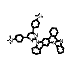 C[Si](C)(C)c1ccc(-c2cc(-c3ccc([Si](C)(C)C)cc3)nc(-n3c4ccccc4c4cc5c(cc43)c3ccccc3c3nc4ccccc4n53)n2)cc1